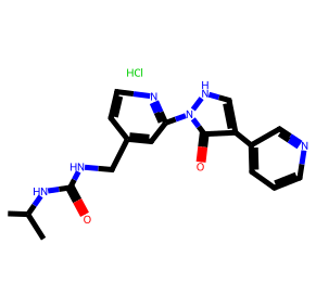 CC(C)NC(=O)NCc1ccnc(-n2[nH]cc(-c3cccnc3)c2=O)c1.Cl